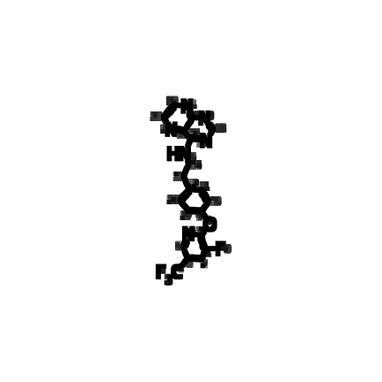 Fc1cc(C(F)(F)F)cnc1Oc1ccc(CCNc2ncnc3nccnc23)cc1